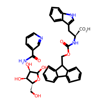 NC(=O)c1cccnc1.O=C(N[C@@H](Cc1c[nH]c2ccccc12)C(=O)O)OCC1c2ccccc2-c2ccccc21.OC[C@H]1OC(O)[C@H](O)[C@@H]1O